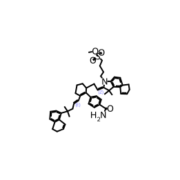 COS(=O)(=O)CCCCN1/C(=C\CC2CCCC(/C=C/CC(C)(C)c3cccc4c3C=CCC4)=C2c2ccc(C(N)=O)cc2)C(C)(C)c2c1ccc1c2C=CCC1